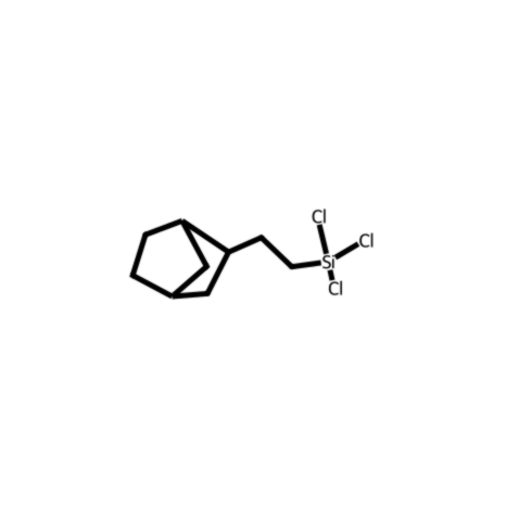 Cl[Si](Cl)(Cl)CCC1CC2CCC1C2